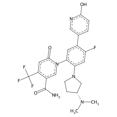 CN(C)[C@@H]1CCN(c2cc(F)c(-c3ccc(O)nc3)cc2-n2cc(C(N)=O)c(C(F)(F)F)cc2=O)C1